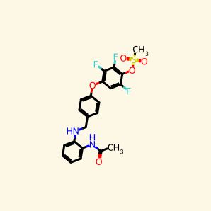 CC(=O)Nc1ccccc1NCc1ccc(Oc2cc(F)c(OS(C)(=O)=O)c(F)c2F)cc1